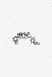 CC(C)(C)c1ccc(C=CC(=O)N2CCC3(CC2)CC(c2cccc(Cl)c2)=NO3)cc1